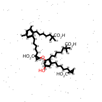 Cc1cc(C)c(CCCCCC(C)(C)C(=O)O)c(CCCCCC2(C(=O)O)CC2Oc2cc(O)cc(CCCCCC3(C(=O)O)CC3)c2CCCCCC(C)(C)C(=O)O)c1